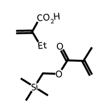 C=C(C)C(=O)OC[Si](C)(C)C.C=C(CC)C(=O)O